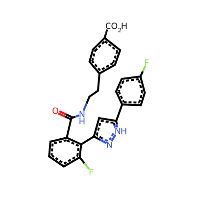 O=C(O)c1ccc(CCNC(=O)c2cccc(F)c2-c2cc(-c3ccc(F)cc3)[nH]n2)cc1